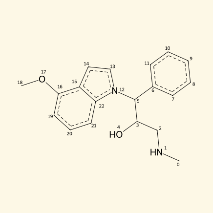 CNCC(O)C(c1ccccc1)n1ccc2c(OC)cccc21